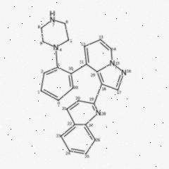 c1ccc(N2CCNCC2)c(-c2cccn3ncc(-c4ccc5ccccc5n4)c23)c1